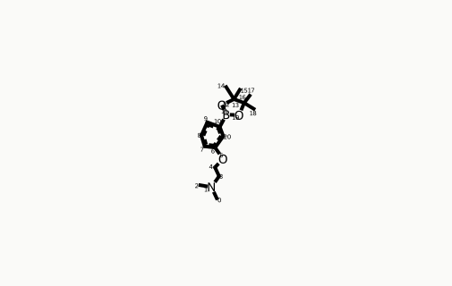 CN(C)CCOc1cccc(B2OC(C)(C)C(C)(C)O2)c1